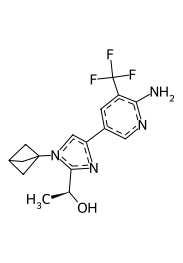 C[C@H](O)c1nc(-c2cnc(N)c(C(F)(F)F)c2)cn1C12CC(C1)C2